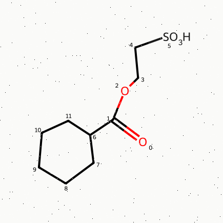 O=C(OCCS(=O)(=O)O)C1CCCCC1